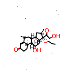 CCCO[C@]1(C(=O)CO)[C@H](C)C[C@H]2[C@@H]3C[C@H](C)C4=CC(=O)CC[C@]4(C)[C@H]3[C@@H](O)C[C@@]21C